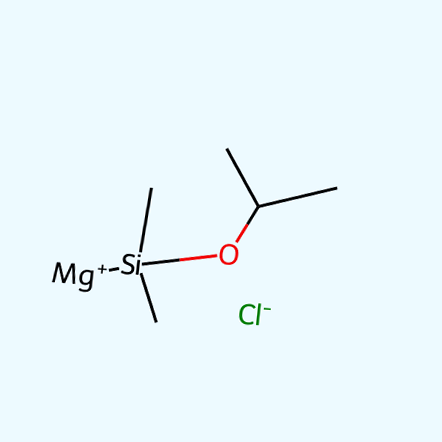 CC(C)O[Si](C)(C)[Mg+].[Cl-]